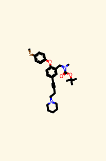 CSc1ccc(Oc2ccc(C#CCCN3CCCCC3)cc2CN(C)C(=O)OC(C)(C)C)cc1